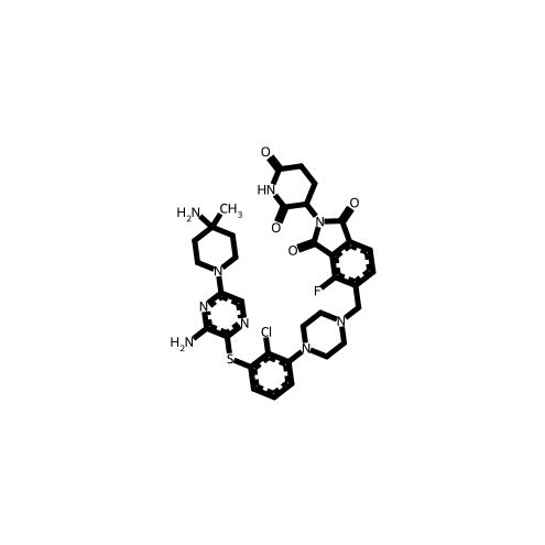 CC1(N)CCN(c2cnc(Sc3cccc(N4CCN(Cc5ccc6c(c5F)C(=O)N(C5CCC(=O)NC5=O)C6=O)CC4)c3Cl)c(N)n2)CC1